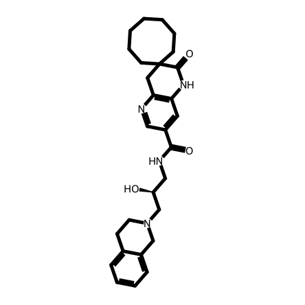 O=C(NC[C@H](O)CN1CCc2ccccc2C1)c1cnc2c(c1)NC(=O)C1(CCCCCCC1)C2